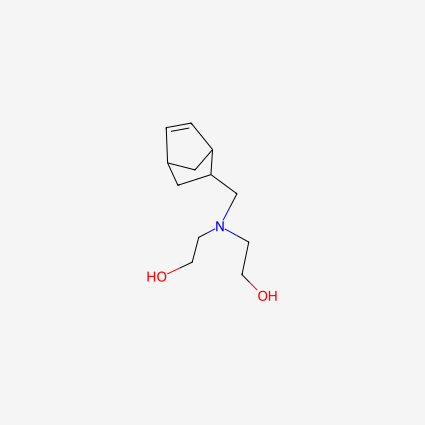 OCCN(CCO)CC1CC2C=CC1C2